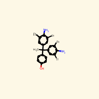 CCc1cc(C(C)(c2ccc(O)cc2)c2cc(CC)c(N)c(CC)c2)cc(CC)c1N